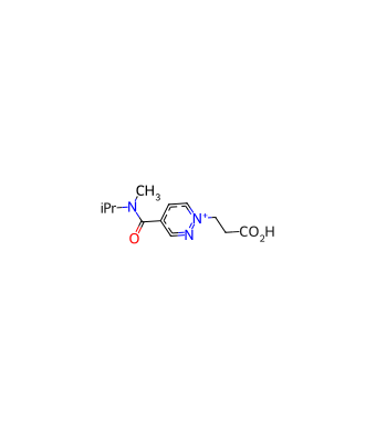 CC(C)N(C)C(=O)c1cc[n+](CCC(=O)O)nc1